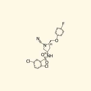 N#CN1C[C@H](NS(=O)(=O)c2cc(Cl)ccc2Cl)C[C@@H]1COc1ccc(F)cc1